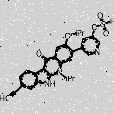 C#Cc1ccc2c(c1)[nH]c1c2c(=O)c2cc(OC(C)C)c(-c3cncc(OS(=O)(=O)F)c3)cc2n1C(C)C